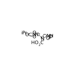 CC(C)OC1=CCC(S(=O)(=O)N2CCC(c3cn(CC(=O)O)c4cc(NS(C)(=O)=O)ccc34)C2)C=C1